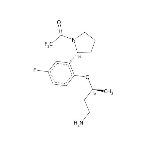 C[C@@H](CCN)Oc1ccc(F)cc1[C@H]1CCCN1C(=O)C(F)(F)F